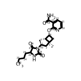 C[C@@H](C[C@]1(C)C[C@@H](Oc2ncccc2C(N)=O)C1)N1C(=O)NC(CCCC(F)(F)F)C1=O